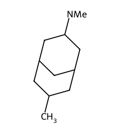 CNC1CC2CC(C)CC(C2)C1